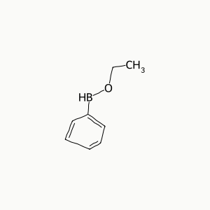 CCOBc1ccccc1